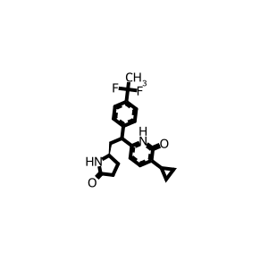 CC(F)(F)c1ccc(C(C[C@H]2CCC(=O)N2)c2ccc(C3CC3)c(=O)[nH]2)cc1